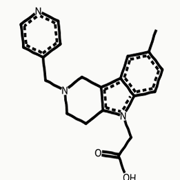 Cc1ccc2c(c1)c1c(n2CC(=O)O)CCN(Cc2ccncc2)C1